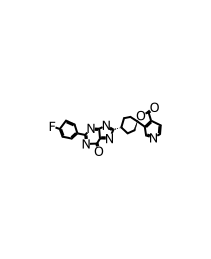 O=C1N=C(c2ccc(F)cc2)N=C2N=C([C@H]3CC[C@@]4(CC3)OC(=O)c3ccncc34)N=C12